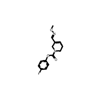 CON=CC1=CCCN(C(=O)Oc2ccc(F)cc2)C1